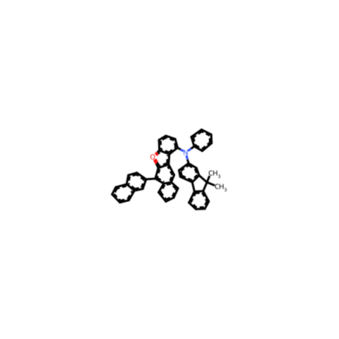 CC1(C)c2ccccc2-c2ccc(N(c3ccccc3)c3cccc4oc5c(-c6ccc7ccccc7c6)c6ccccc6cc5c34)cc21